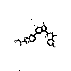 CC(NC(=O)c1cn(C)c2ccc(-c3ccn4nc(NC=O)nc4c3)cc12)c1cccc(F)c1